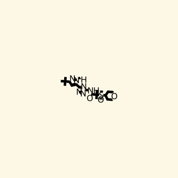 C=S(=O)(C1CCOCC1)C(C)(C)C(=O)Nc1nnc(-c2cc(C(C)(C)C)nn2C)[nH]1